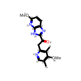 COc1ccc2nc(C(=O)Cc3ncc(C)c(OC)c3C)[nH]c2n1